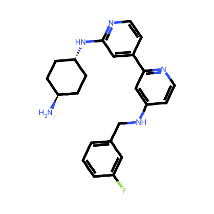 N[C@H]1CC[C@H](Nc2cc(-c3cc(NCc4cccc(F)c4)ccn3)ccn2)CC1